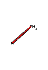 CC#CC#CC#CC#CC#CC#CC#CC#CC#CC#CC#CC#CC#CC#CC#CC#CC#CC#CC#CC#CC#CC#CC#CC#CC#CC#CC#CC#CC#CC#CC#CC#CC#N